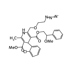 COC(=O)C1=C(C)NC(COCCN=[N+]=[N-])=C(C(=O)OCC(OC)c2ccccc2)C1c1ccccc1Cl